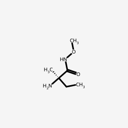 CC[C@@](C)(N)C(=O)NOC